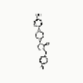 O=C1C(N2CCN(c3ccc(O)cn3)CC2)CCN1Cc1ccc(Cl)cc1